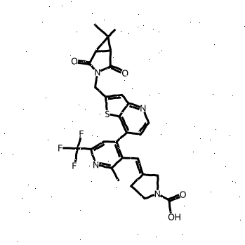 Cc1nc(C(F)(F)F)cc(-c2ccnc3cc(CN4C(=O)C5C(C4=O)C5(C)C)sc23)c1/C=C1\CCN(C(=O)O)C1